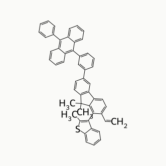 C=Cc1ccc2c(c1-c1c(C)sc3ccccc13)C(C)(C)c1ccc(-c3cccc(-c4c5ccccc5c(-c5ccccc5)c5ccccc45)c3)cc1-2